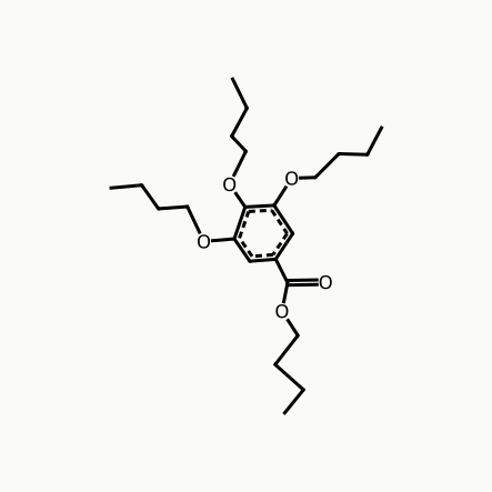 CCCCOC(=O)c1cc(OCCCC)c(OCCCC)c(OCCCC)c1